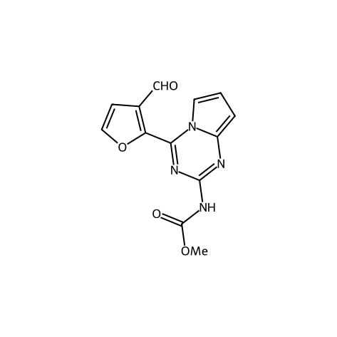 COC(=O)Nc1nc(-c2occc2C=O)n2cccc2n1